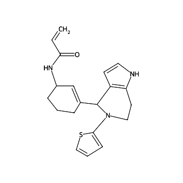 C=CC(=O)NC1C=C(C2c3cc[nH]c3CCN2c2cccs2)CCC1